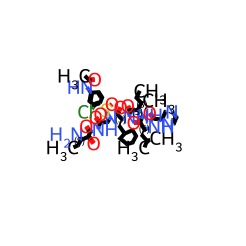 CC[C@H](N)C(=O)C(=O)NC(=O)CN(C(=O)[C@H](CC1CCCCC1)NC(=O)[C@@H](NC(=O)[C@H](CC(C)C)NC(=O)c1cnccn1)[C@@H](C)CC)S(=O)(=O)c1ccc(NC(C)=O)cc1Cl